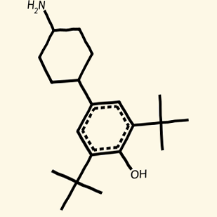 CC(C)(C)c1cc(C2CCC(N)CC2)cc(C(C)(C)C)c1O